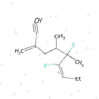 C#CC(=C)CC(C)C(C)(F)/C(F)=C\CC